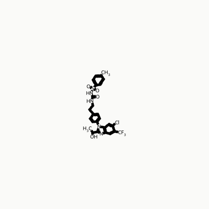 Cc1ccc(S(=O)(=O)NC(=O)NCCc2ccc(-n3c(C(C)O)nc4cc(C(F)(F)F)c(Cl)cc43)cc2)cc1